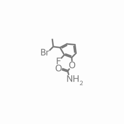 CC(Br)c1cccc(OC(N)=O)c1F